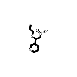 C=CCSC(C[N+](=O)[O-])c1cccnc1